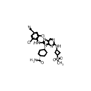 CS(=O)(=O)C1CC(Nc2ncc3nc(Nc4c(Cl)cc(C#N)cc4Cl)n([C@H]4CC[C@@H](C(N)=O)CC4)c3n2)C1